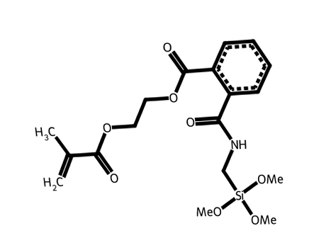 C=C(C)C(=O)OCCOC(=O)c1ccccc1C(=O)NC[Si](OC)(OC)OC